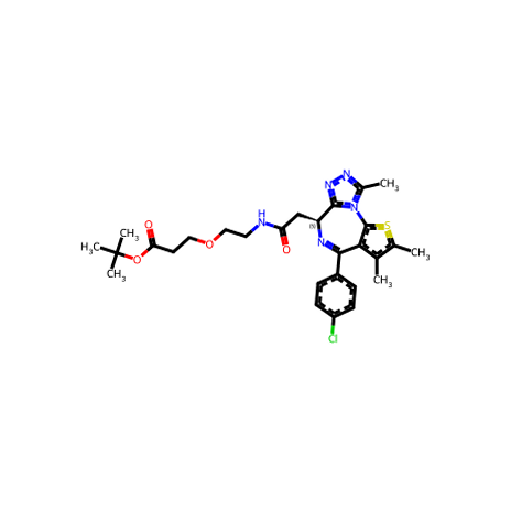 Cc1sc2c(c1C)C(c1ccc(Cl)cc1)=N[C@@H](CC(=O)NCCOCCC(=O)OC(C)(C)C)c1nnc(C)n1-2